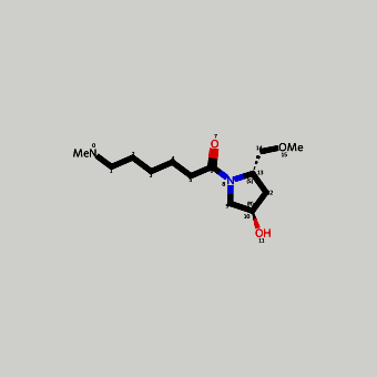 CNCCCCCC(=O)N1C[C@H](O)C[C@H]1COC